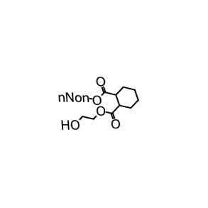 CCCCCCCCCOC(=O)C1CCCCC1C(=O)OCCO